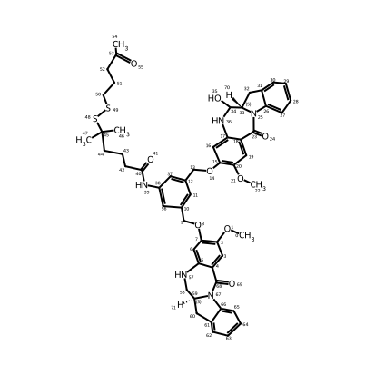 COc1cc2c(cc1OCc1cc(COc3cc4c(cc3OC)C(=O)N3c5ccccc5C[C@H]3C(O)N4)cc(NC(=O)CCCC(C)(C)SSCCCC(C)=O)c1)NC[C@@H]1Cc3ccccc3N1C2=O